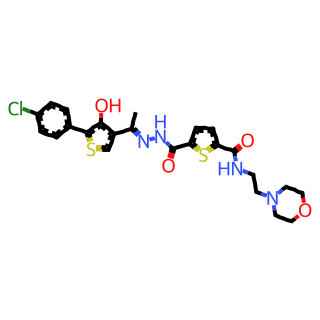 C/C(=N\NC(=O)c1ccc(C(=O)NCCN2CCOCC2)s1)c1csc(-c2ccc(Cl)cc2)c1O